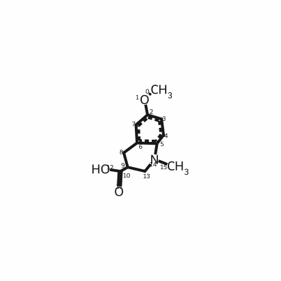 COc1ccc2c(c1)CC(C(=O)O)CN2C